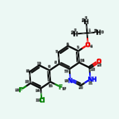 [2H]C([2H])([2H])Oc1ccc(-c2ccc(F)c(Cl)c2F)c2nc[nH]c(=O)c12